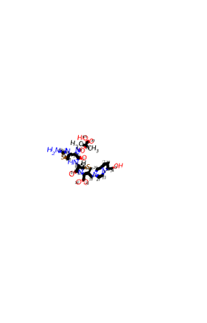 CC(C)(O/N=C(\C(=O)N[C@@H]1C(=O)N2C(C(=O)[O-])=C(Cn3cc[n+]4c(CO)ccc-4c3)CS[C@@H]12)c1csc(N)n1)C(=O)O